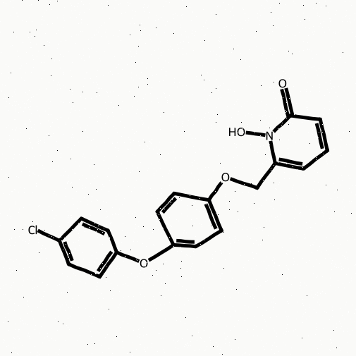 O=c1cccc(COc2ccc(Oc3ccc(Cl)cc3)cc2)n1O